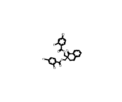 O=C(OCC1(COC(=O)c2ccc(Cl)cc2Cl)CCc2ccccc2C1=O)c1ccc(Cl)cc1Cl